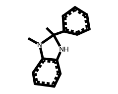 CN1c2ccccc2NC1(C)c1ccccc1